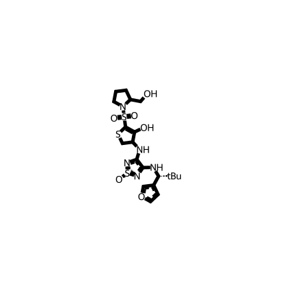 CC(C)(C)[C@@H](Nc1n[s+]([O-])nc1NC1CSC(S(=O)(=O)N2CCCC2CO)=C1O)c1ccoc1